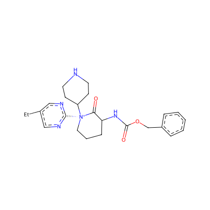 CCc1cnc([N@@+]2(C3CCNCC3)CCCC(NC(=O)OCc3ccccc3)C2=O)nc1